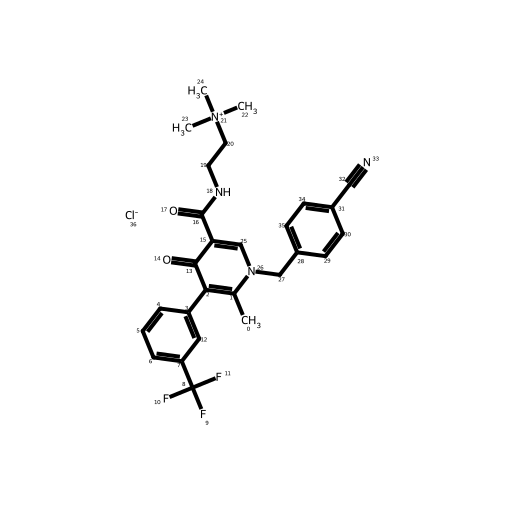 Cc1c(-c2cccc(C(F)(F)F)c2)c(=O)c(C(=O)NCC[N+](C)(C)C)cn1Cc1ccc(C#N)cc1.[Cl-]